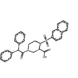 O=C(O)C1CN(C(=O)C(c2ccccc2)c2ccccc2)CCN1S(=O)(=O)c1ccc2ccccc2c1